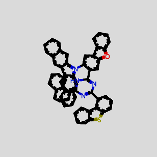 c1ccc2cc3c(cc2c1)c1cc2ccccc2cc1n3-c1cc2c(cc1C1=NC(c3cccc4sc5ccccc5c34)=NC(c3cccc4ccccc34)N1)oc1ccccc12